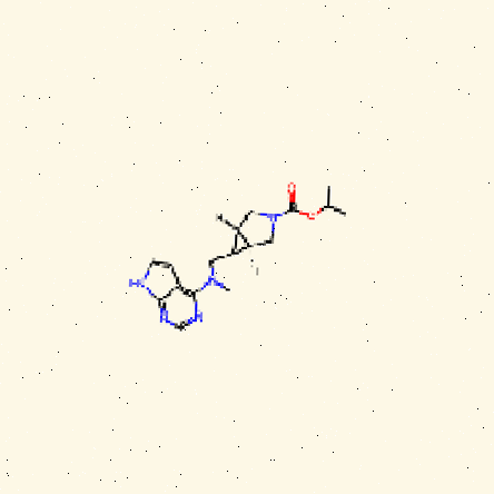 CC(C)OC(=O)N1C[C@H]2C(CN(C)c3ncnc4[nH]ccc34)[C@@H]2C1